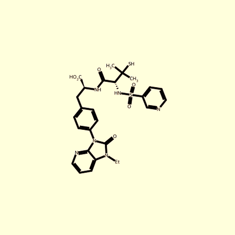 CCn1c(=O)n(-c2ccc(C[C@H](NC(=O)[C@@H](NS(=O)(=O)c3cccnc3)C(C)(C)S)C(=O)O)cc2)c2ncccc21